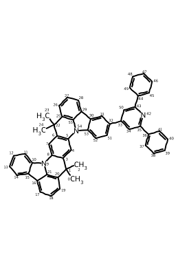 CC1(C)c2cc3c(cc2-n2c4ccccc4c4cccc1c42)C(C)(C)c1cccc2c4cc(-c5cc(-c6ccccc6)nc(-c6ccccc6)c5)ccc4n-3c12